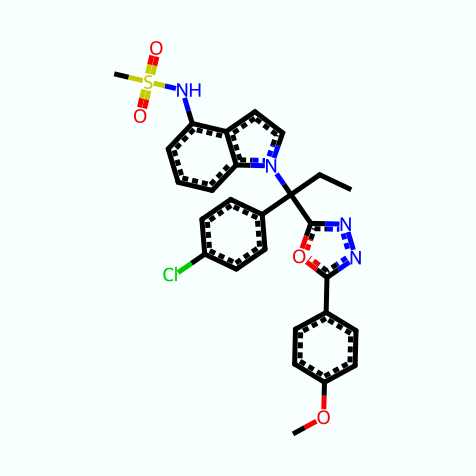 CCC(c1ccc(Cl)cc1)(c1nnc(-c2ccc(OC)cc2)o1)n1ccc2c(NS(C)(=O)=O)cccc21